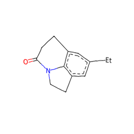 CCc1cc2c3c(c1)CCN3C(=O)CC2